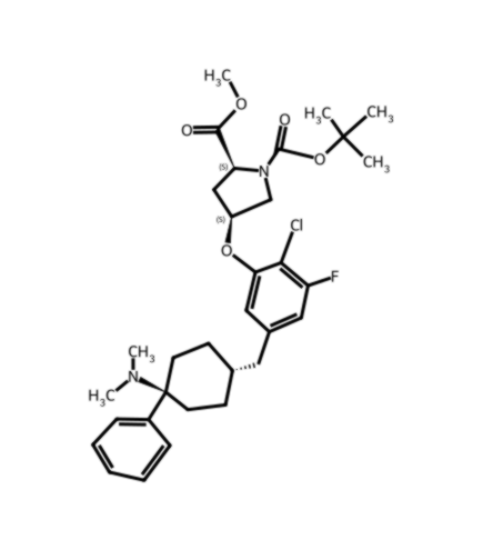 COC(=O)[C@@H]1C[C@H](Oc2cc(C[C@H]3CC[C@](c4ccccc4)(N(C)C)CC3)cc(F)c2Cl)CN1C(=O)OC(C)(C)C